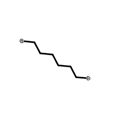 [B]CCCCCC[B]